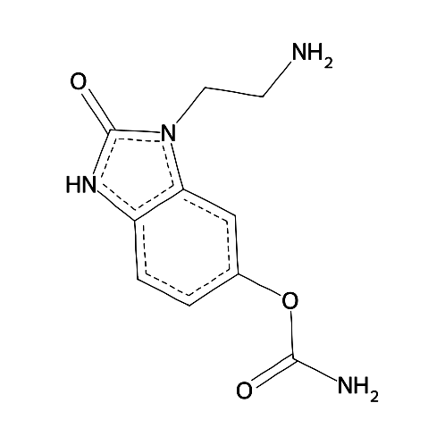 NCCn1c(=O)[nH]c2ccc(OC(N)=O)cc21